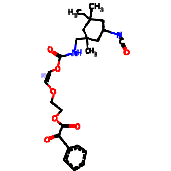 CC1(C)CC(N=C=O)CC(C)(CNC(=O)O/C=C\OCCOC(=O)C(=O)c2ccccc2)C1